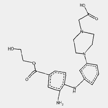 Nc1cc(C(=O)OCCO)ccc1Nc1cccc(N2CCN(CC(=O)O)CC2)c1